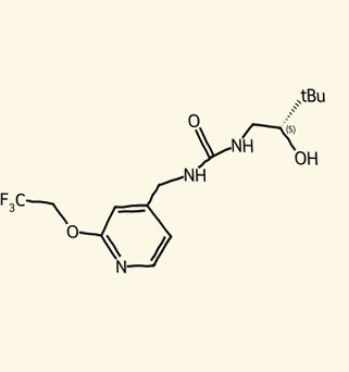 CC(C)(C)[C@H](O)CNC(=O)NCc1ccnc(OCC(F)(F)F)c1